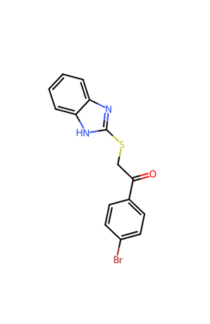 O=C(CSc1nc2ccccc2[nH]1)c1ccc(Br)cc1